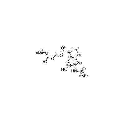 CCCCOC(=O)OCOC(=O)c1cccc2c1OB(O)C(NC(=O)CCC)C2